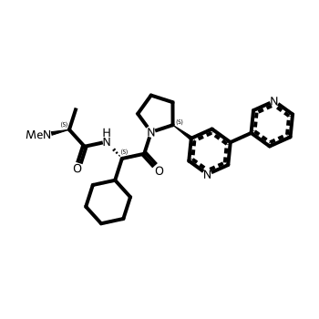 CN[C@@H](C)C(=O)N[C@H](C(=O)N1CCC[C@H]1c1cncc(-c2cccnc2)c1)C1CCCCC1